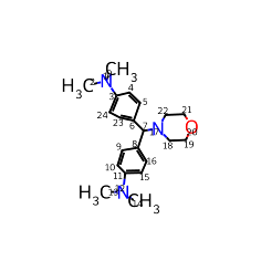 CN(C)c1ccc(C(c2ccc(N(C)C)cc2)N2CCOCC2)cc1